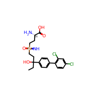 CCC(O)(CCS(=N)(=O)CC[C@H](N)C(=O)O)c1ccc(-c2ccc(Cl)cc2Cl)cc1